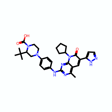 Cc1nc(Nc2ccc(N3CCN(C(=O)O)C(C(C)(C)C)C3)cc2)nc2c1cc(-c1ccn[nH]1)c(=O)n2C1CCCC1